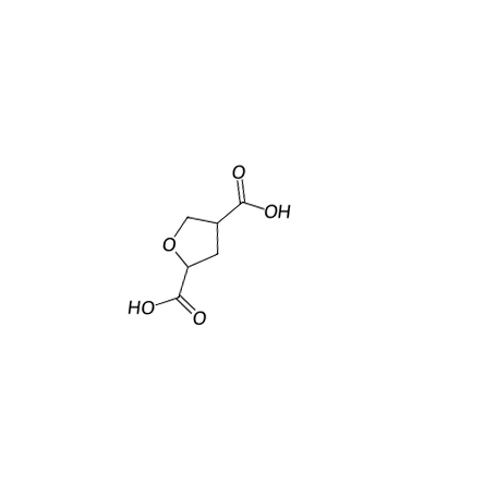 O=C(O)C1COC(C(=O)O)C1